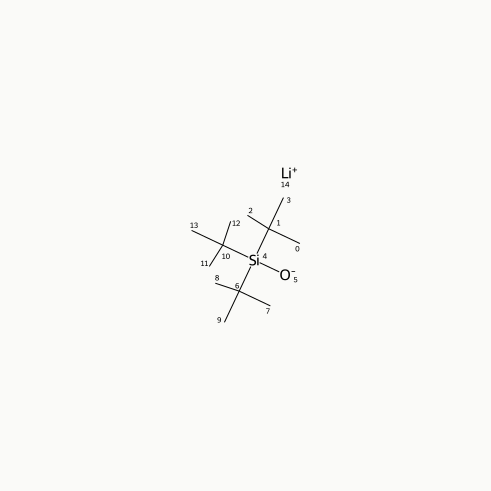 CC(C)(C)[Si]([O-])(C(C)(C)C)C(C)(C)C.[Li+]